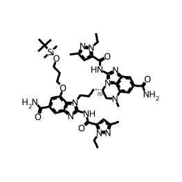 CCn1nc(C)cc1C(=O)Nc1nc2cc(C(N)=O)cc(OCCCO[Si](C)(C)C(C)(C)C)c2n1CCC[C@H]1CN(C)c2cc(C(N)=O)cc3nc(NC(=O)c4cc(C)nn4CC)n1c23